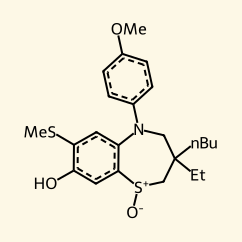 CCCCC1(CC)CN(c2ccc(OC)cc2)c2cc(SC)c(O)cc2[S+]([O-])C1